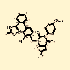 CCc1cc2c(=O)n(-c3ccc(OC(C)C)cc3)c(=O)n(Cc3ccc(-c4ccccc4-c4noc(=O)[nH]4)cc3F)c2s1